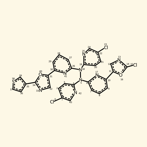 Clc1ccc(N(c2cccc(-c3cnc(Cl)o3)n2)N(c2ccc(Cl)cn2)c2cccc(-c3cnc(-c4ccsc4)o3)n2)nc1